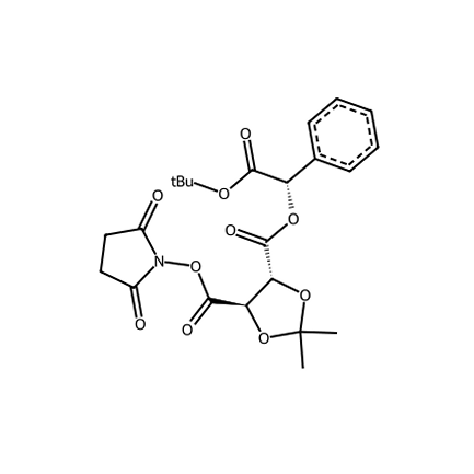 CC(C)(C)OC(=O)[C@@H](OC(=O)[C@@H]1OC(C)(C)O[C@H]1C(=O)ON1C(=O)CCC1=O)c1ccccc1